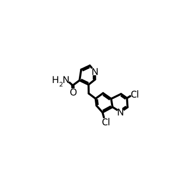 NC(=O)c1ccncc1Cc1cc(Cl)c2ncc(Cl)cc2c1